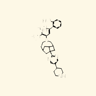 NC(N)=C(/C=C(\N)c1ccccc1O)N1CCC2CC3C(C1)CC3(c1ncc(C3CCNCC3)cn1)C2